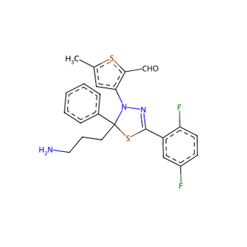 Cc1cc(N2N=C(c3cc(F)ccc3F)SC2(CCCN)c2ccccc2)c(C=O)s1